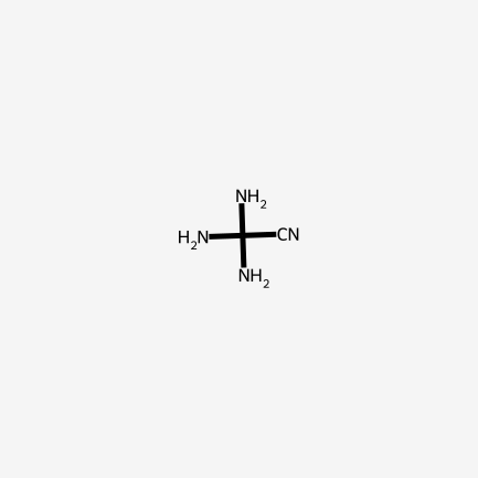 N#CC(N)(N)N